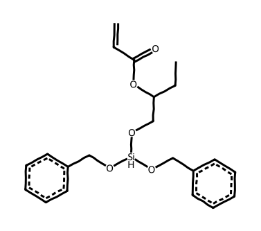 C=CC(=O)OC(CC)CO[SiH](OCc1ccccc1)OCc1ccccc1